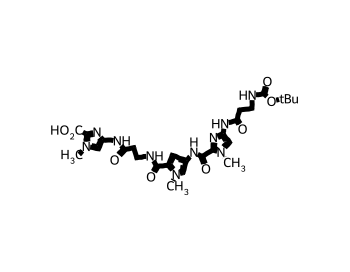 Cn1cc(NC(=O)c2nc(NC(=O)CCNC(=O)OC(C)(C)C)cn2C)cc1C(=O)NCCC(=O)Nc1cn(C)c(C(=O)O)n1